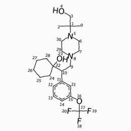 CC(C)(CO)N1CCN(CC(c2cccc(OC(F)(F)F)c2)C2(O)CCCCC2)CC1